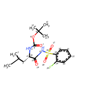 CC(C)C[C@H](NC(=O)OC(C)(C)C)C(=O)NS(=O)(=O)c1ccccc1F